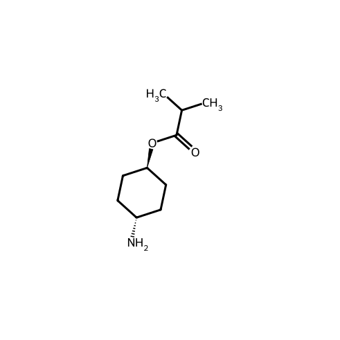 CC(C)C(=O)O[C@H]1CC[C@H](N)CC1